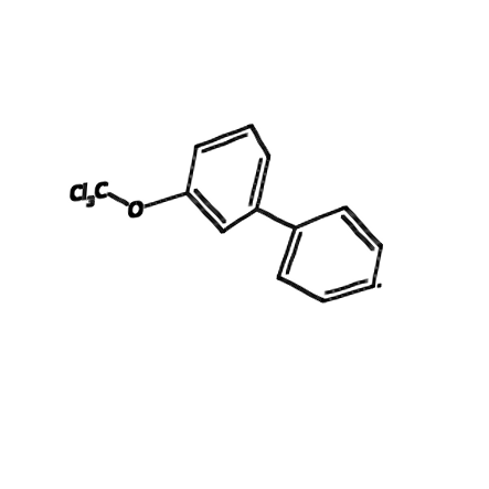 ClC(Cl)(Cl)Oc1cccc(-c2cc[c]cc2)c1